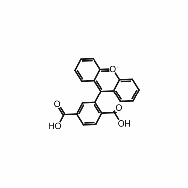 O=C(O)c1ccc(C(=O)O)c(-c2c3ccccc3[o+]c3ccccc23)c1